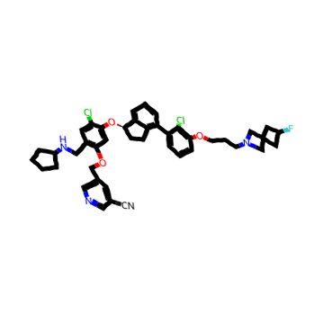 N#Cc1cncc(COc2cc(O[C@H]3CCc4c(-c5cccc(OCCCN6CC7(CC(F)C7)C6)c5Cl)cccc43)c(Cl)cc2CNC2CCCC2)c1